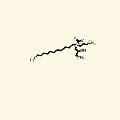 CCCCCCCCCCCC[N+](CCCC)(CC(O)CC)C(=S)[S-]